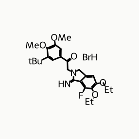 Br.CCOc1cc2c(c(F)c1OCC)C(=N)N(CC(=O)c1cc(OC)c(OC)c(C(C)(C)C)c1)C2